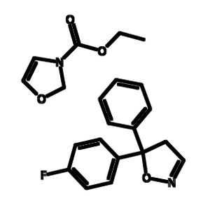 CCOC(=O)N1C=COC1.Fc1ccc(C2(c3ccccc3)CC=NO2)cc1